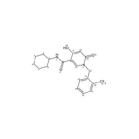 O=C(NC1CCCCC1)c1cn(Cc2ccccc2C(F)(F)F)c(=O)cc1O